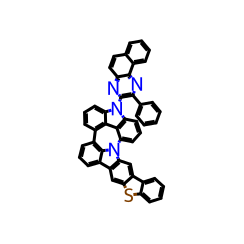 c1ccc(-c2nc3c(ccc4ccccc43)nc2-n2c3cccc4c5cccc6c7cc8sc9ccccc9c8cc7n(c7cccc2c7c43)c56)cc1